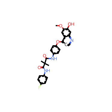 COc1cc2c(Oc3ccc(NC(=O)C(C)(C)C(=O)Nc4ccc(F)cc4)cc3)ccnc2cc1O